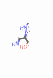 CN/N=C(\C=N)CO